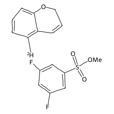 COS(=O)(=O)c1cc(F)cc(F)c1.[2H]c1cccc2c1C=CCO2